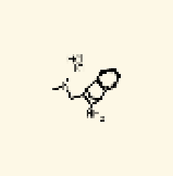 CN(C)CC1C2CC(c3ccccc32)C1N.Cl.Cl